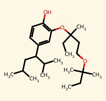 CCC(C)(C)OCCC(C)(CC)Oc1cc(C(CC(C)C)C(C)C)ccc1O